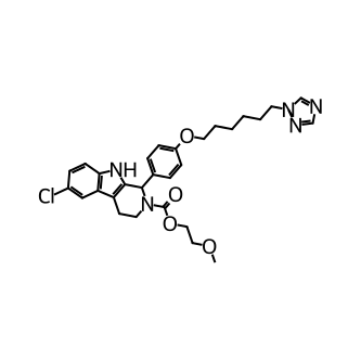 COCCOC(=O)N1CCc2c([nH]c3ccc(Cl)cc23)C1c1ccc(OCCCCCCn2cncn2)cc1